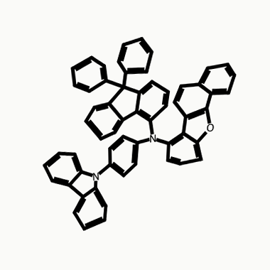 c1ccc(C2(c3ccccc3)c3ccccc3-c3c(N(c4ccc(-n5c6ccccc6c6ccccc65)cc4)c4cccc5oc6c7ccccc7ccc6c45)cccc32)cc1